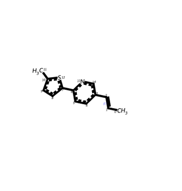 C/C=C/c1ccc(-c2ccc(C)s2)nc1